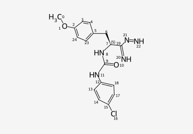 COc1ccc(C[C@H](NC(=O)Nc2ccc(Cl)cc2)C(=N)N=N)cc1